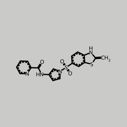 C=C1Nc2ccc(S(=O)(=O)n3ccc(NC(=O)c4ccccn4)c3)cc2S1